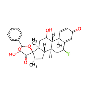 C[C@H]1C[C@H]2[C@@H]3C[C@H](F)C4=CC(=O)C=C[C@]4(C)[C@H]3C(O)C[C@]2(C)[C@@]1(OC(=O)c1ccccc1)C(=O)CO